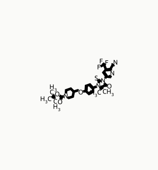 CC(C)(C)OC(=O)N1CCC(COc2ccc(N3C(=S)N(c4cnc(C#N)c(C(F)(F)F)c4)C(=O)C3(C)C)cc2)CC1